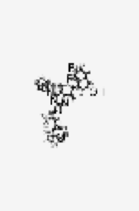 Oc1cc(-c2ccc3c(N4CC5CCC(C4)N5)nc(OCC4(CN5CCOC6(CCC6)C5)CC4)nc3c2F)c2c(F)c(F)ccc2c1